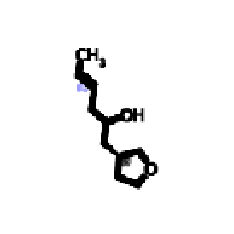 C/C=C/CC(O)C[C@@H]1CCOC1